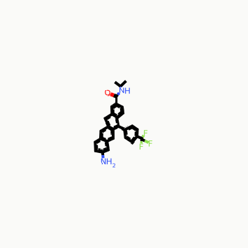 CC(C)NC(=O)c1ccc2c(-c3ccc(C(F)(F)F)cc3)c3cc4cc(N)ccc4cc3cc2c1